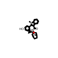 Cl.Cn1c(-c2ccccc2)c(C(=O)NC2CC3CCC(C2)N3CC2CC2)c2ccccc21